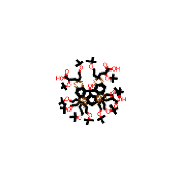 CC(C)(C)OCCC1(CCOC(C)(C)C)Sc2cc3c(c(C(O)(c4c5c(cc6c4SC(CCOC(C)(C)C)(CC(OC(C)(C)C)C(=O)O)S6)SC(CCOC(C)(C)C)(CCOC(C)(C)C)S5)c4c5c(cc6c4SC(CCOC(C)(C)C)(CC(OC(C)(C)C)C(=O)O)S6)SC(CCOC(C)(C)C)(CCOC(C)(C)C)S5)c2S1)SC(CCOC(C)(C)C)(CC(OC(C)(C)C)C(=O)O)S3